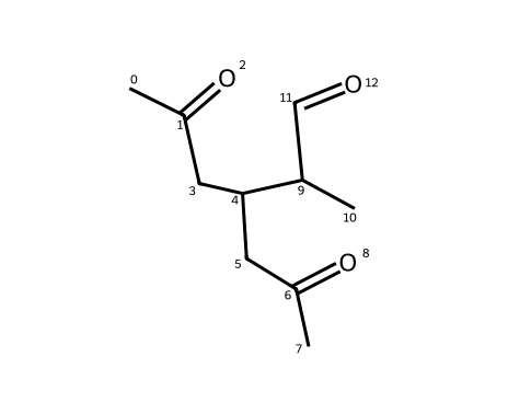 CC(=O)CC(CC(C)=O)C(C)C=O